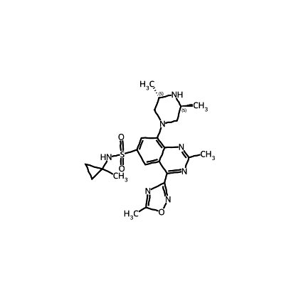 Cc1nc(-c2noc(C)n2)c2cc(S(=O)(=O)NC3(C)CC3)cc(N3C[C@H](C)N[C@@H](C)C3)c2n1